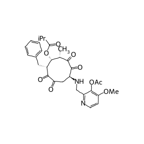 COc1ccnc(CN[C@H]2CC(=O)C(=O)[C@H](Cc3ccccc3)[C@H](OC(=O)C(C)C)[C@H](C)C(=O)C2=O)c1OC(C)=O